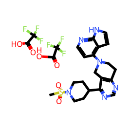 CS(=O)(=O)N1CCC(c2ncnc3c2CN(c2ccnc4[nH]ccc24)CC3)CC1.O=C(O)C(F)(F)F.O=C(O)C(F)(F)F